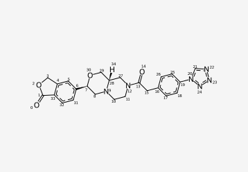 O=C1OCc2cc([C@@H]3CN4CCN(C(=O)Cc5ccc(-n6cnnn6)cc5)C[C@H]4CO3)ccc21